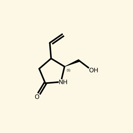 C=CC1CC(=O)N[C@@H]1CO